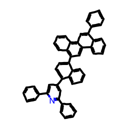 c1ccc(-c2cc(-c3ccc(-c4cc5c6ccccc6c(-c6ccccc6)cc5c5ccccc45)c4ccccc34)cc(-c3ccccc3)n2)cc1